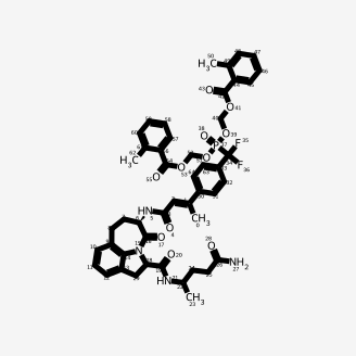 C/C(=C\C(=O)N[C@H]1CCc2cccc3c2N(C1=O)C(C(=O)NC(C)CCC(N)=O)C3)c1ccc(C(F)(F)P(=O)(OCOC(=O)c2ccccc2C)OCOC(=O)c2ccccc2C)cc1